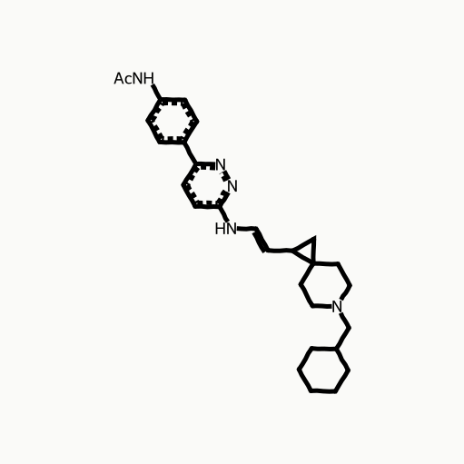 CC(=O)Nc1ccc(-c2ccc(N/C=C/C3CC34CCN(CC3CCCCC3)CC4)nn2)cc1